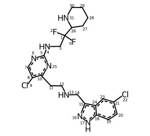 FC(F)(CNc1ncc(Cl)c(CCNCc2n[nH]c3ccc(Cl)cc23)n1)C1CCCCN1